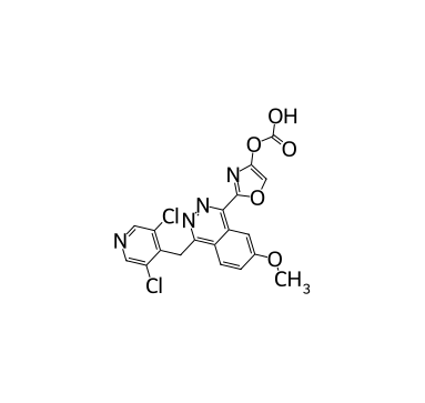 COc1ccc2c(Cc3c(Cl)cncc3Cl)nnc(-c3nc(OC(=O)O)co3)c2c1